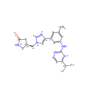 Cc1cc(Nc2nccc(C(F)F)n2)cc(-c2cn(C[C@H]3CNC(=O)C3)nn2)c1